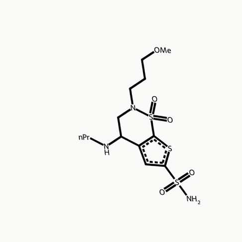 CCCNC1CN(CCCOC)S(=O)(=O)c2sc(S(N)(=O)=O)cc21